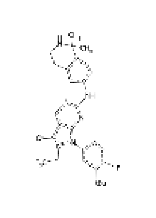 CC(C)(C)c1cc(-n2c3nc(Nc4ccc5c(c4)CCNC5(C)C)ncc3c(=O)n2CC(F)(F)F)ccc1F